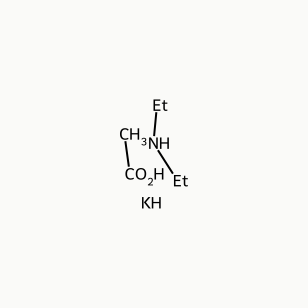 CC(=O)O.CCNCC.[KH]